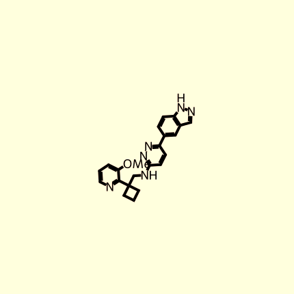 COc1cccnc1C1(CNc2ccc(-c3ccc4[nH]ncc4c3)nn2)CCC1